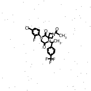 CC(=O)N1CC2(C1)C(=O)N(c1ccc(Cl)cc1F)CC(=O)N2C(C)c1ccc(C(F)(F)F)cc1